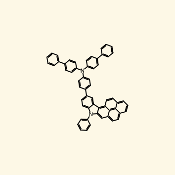 c1ccc(-c2ccc(N(c3ccc(-c4ccccc4)cc3)c3ccc(-c4ccc5c(c4)c4c6ccc7cccc8ccc(cc4n5-c4ccccc4)c6c87)cc3)cc2)cc1